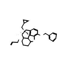 C=CCO[C@@]12CCC[C@@H]3Oc4c(OCc5ccccc5)ccc5c4[C@@]31CCN(CC1CC1)[C@@H]2C5